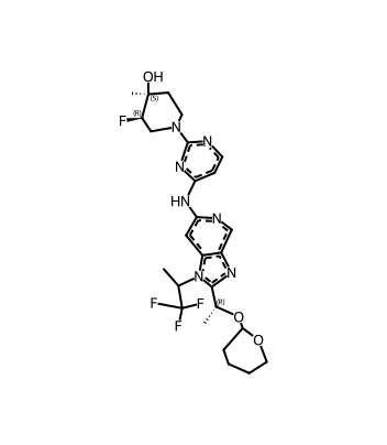 CC(n1c([C@@H](C)OC2CCCCO2)nc2cnc(Nc3ccnc(N4CC[C@](C)(O)[C@H](F)C4)n3)cc21)C(F)(F)F